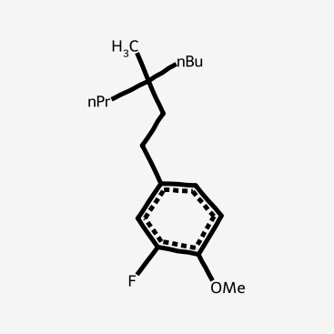 CCCCC(C)(CCC)CCc1ccc(OC)c(F)c1